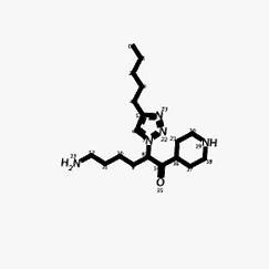 CCCCCc1cn(C(CCCCN)C(=O)C2CCNCC2)nn1